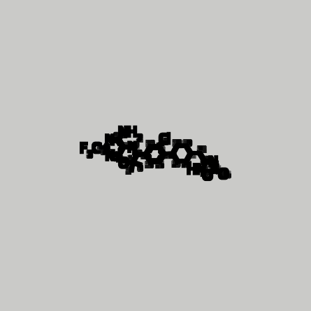 CC1(C)Oc2nc(C(F)(F)F)nc(N)c2N=C1c1ccc([C@H]2CC[C@H](Cc3nc(=O)o[nH]3)CC2)c(Cl)c1